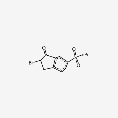 CCCS(=O)(=O)c1ccc2c(c1)C(=O)C(Br)C2